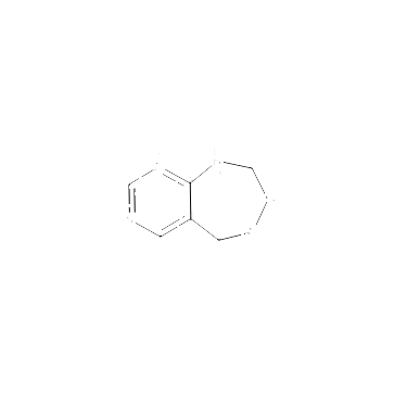 c1ncc2c(n1)NCCNC2